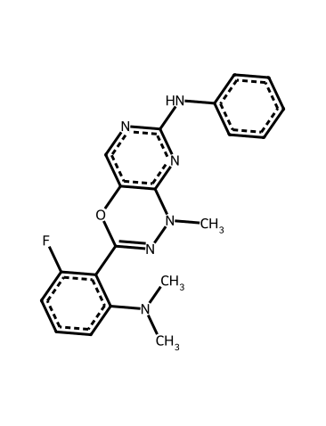 CN(C)c1cccc(F)c1C1=NN(C)c2nc(Nc3ccccc3)ncc2O1